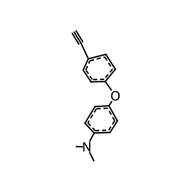 C#Cc1ccc(Oc2ccc(N(C)C)cc2)cc1